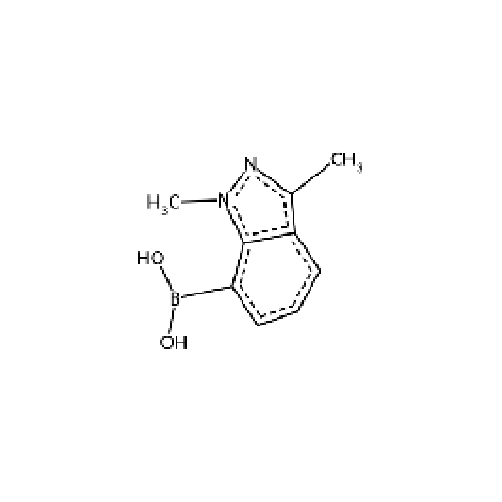 Cc1nn(C)c2c(B(O)O)cccc12